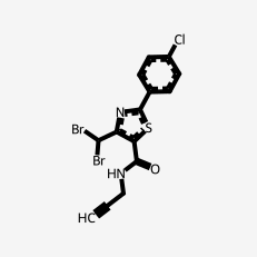 C#CCNC(=O)c1sc(-c2ccc(Cl)cc2)nc1C(Br)Br